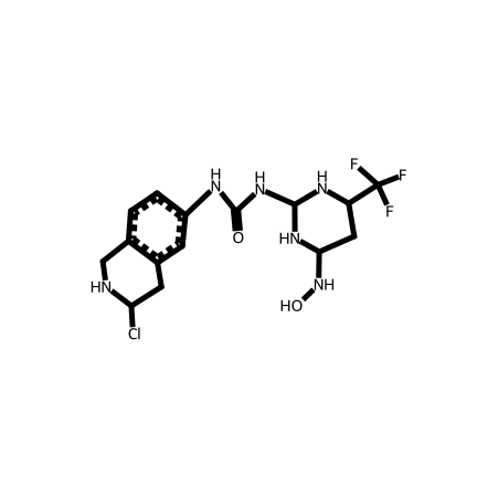 O=C(Nc1ccc2c(c1)CC(Cl)NC2)NC1NC(NO)CC(C(F)(F)F)N1